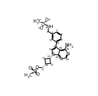 CS(=O)(=O)NCc1cccc(-c2cn([C@H]3C[C@@H](COS(C)(=O)=O)C3)c3ncnc(N)c23)c1